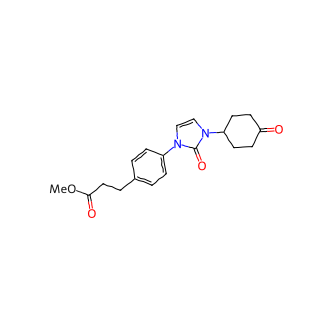 COC(=O)CCc1ccc(-n2ccn(C3CCC(=O)CC3)c2=O)cc1